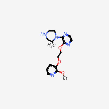 CCOc1ncccc1OCCOc1nccnc1N1CCNCC1C